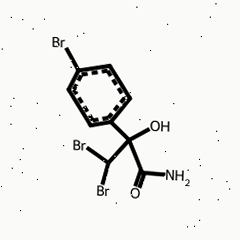 NC(=O)C(O)(c1ccc(Br)cc1)C(Br)Br